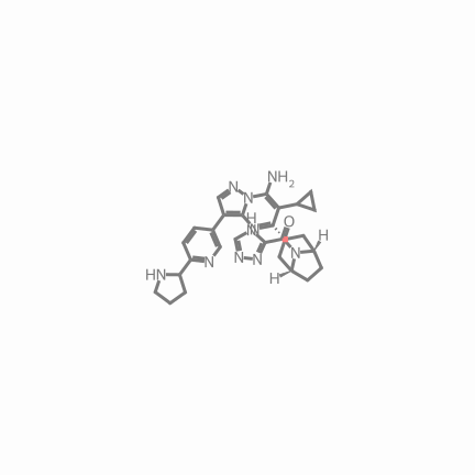 Nc1c(C2CC2)c([C@H]2C[C@H]3CC[C@@H](C2)N3C(=O)c2nnc[nH]2)nc2c(-c3ccc(C4CCCN4)nc3)cnn12